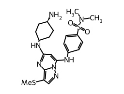 CSc1cnn2c(Nc3ccc(S(=O)(=O)N(C)C)cc3)cc(N[C@H]3CC[C@H](N)CC3)nc12